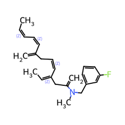 C=C(/C=C\C=C/C)C/C=C\C(=C/C)CC(=C)N(C)Cc1cccc(F)c1